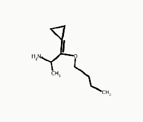 CCCCOC(=C1CC1)C(C)N